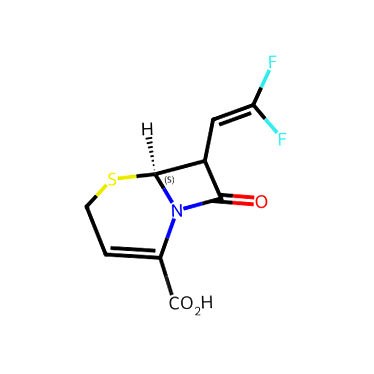 O=C(O)C1=CCS[C@H]2C(C=C(F)F)C(=O)N12